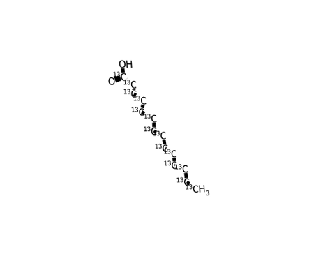 [13CH3][13CH2][13CH2][13CH2][13CH2][13CH2][13CH2][13CH2][13CH2][13CH2][13CH2][13CH2][13CH2][13C](=O)O